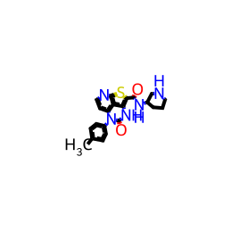 Cc1ccc(N2C(=O)Nc3c(C(=O)NC4CCCNC4)sc4nccc2c34)cc1